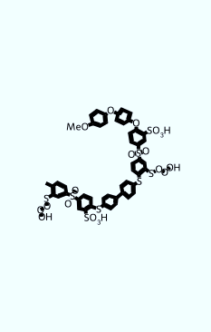 COc1ccc(Oc2ccc(Oc3ccc(S(=O)(=O)c4ccc(Sc5ccc(-c6ccc(Sc7ccc(S(=O)(=O)c8ccc(C)c(SOOO)c8)cc7S(=O)(=O)O)cc6)cc5)c(SOOO)c4)cc3S(=O)(=O)O)cc2)cc1